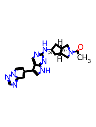 CC(=O)N1C[C@H]2C[C@H](Nc3ncc4c(-c5ccn6ncnc6c5)c[nH]c4n3)C[C@H]2C1